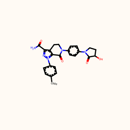 COc1ccc(-n2nc(C(N)=O)c3c2C(=O)N(c2ccc(N4CCC(O)C4=O)cc2)CC3)cc1